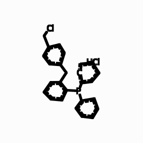 Cl.ClCc1ccc(Cc2ccccc2P(c2ccccc2)c2ccccc2)cc1